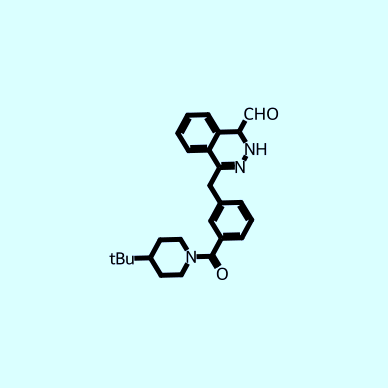 CC(C)(C)C1CCN(C(=O)c2cccc(CC3=NNC(C=O)c4ccccc43)c2)CC1